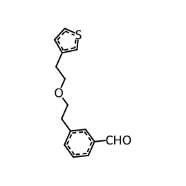 O=Cc1cccc(CCOCCc2ccsc2)c1